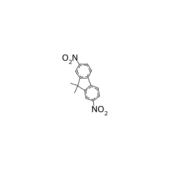 CC1(C)c2cc([N+](=O)[O-])ccc2-c2ccc([N+](=O)[O-])cc21